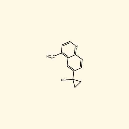 N#CC1(c2ccc3nccc(C(=O)O)c3c2)CC1